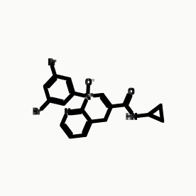 O=C(NC1CC1)C1=C[N+]([O-])(c2cc(Br)cc(Br)c2)c2ncccc2C1